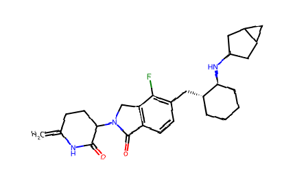 C=C1CCC(N2Cc3c(ccc(C[C@H]4CCCC[C@@H]4NC4CC5CC5C4)c3F)C2=O)C(=O)N1